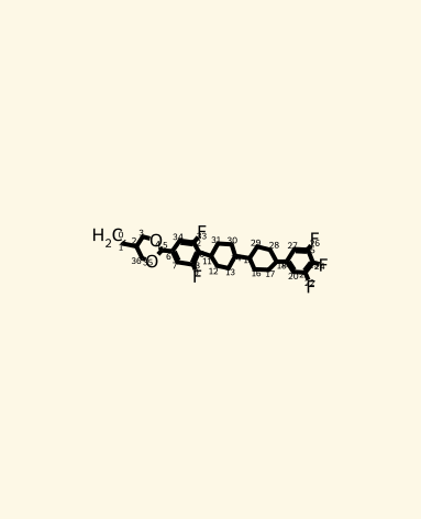 C=CC1COC(c2cc(F)c(C3CCC(C4CCC(c5cc(F)c(F)c(F)c5)CC4)CC3)c(F)c2)OC1